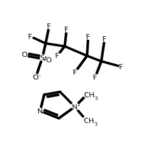 C[N+]1(C)C=CN=C1.O=S(=O)([O-])C(F)(F)C(F)(F)C(F)(F)C(F)(F)F